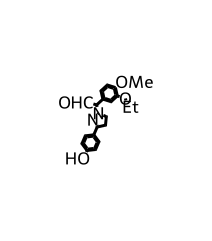 CCOc1cc(C(C=O)N2CCC(c3ccc(O)cc3)=N2)ccc1OC